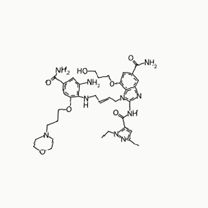 CCn1nc(C)cc1C(=O)Nc1nc2cc(C(N)=O)cc(OCCCO)c2n1C/C=C/CNc1c(N)cc(C(N)=O)cc1OCCCN1CCOCC1